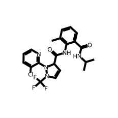 Cc1cccc(C(=O)NC(C)C)c1NC(=O)C1C=CN(C(F)(F)F)N1c1ncccc1Cl